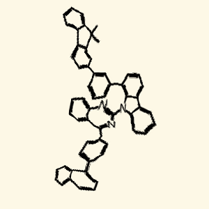 CC1(C)c2ccccc2-c2ccc(-c3cccc(-c4cccc5c6ccccc6n(-c6nc(-c7ccc(-c8cccc9ccccc89)cc7)c7ccccc7n6)c45)c3)cc21